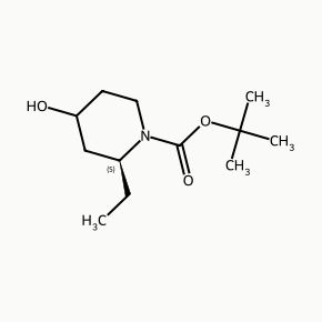 CC[C@H]1CC(O)CCN1C(=O)OC(C)(C)C